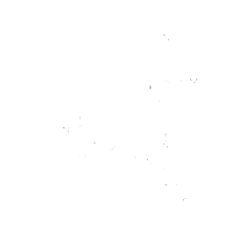 COc1cc(-c2cnc3c(c2)c(-c2ccc4c(c2)OCCN(C)C4=O)cn3S(=O)(=O)c2ccc(C)cc2)ccc1C1CCN(C)CC1